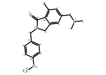 Cc1cc(CN(C)C)cc2c1C(=O)N(Cc1ccc(OC(F)(F)F)cc1)C2